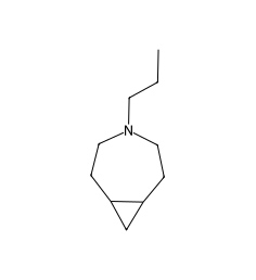 CCCN1CCC2CC2CC1